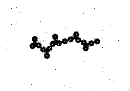 C1=C(c2ccc3c(c2)c2ccccc2n3-c2ccc(-c3ccccc3)cc2)CCc2c1c1ccccc1n2-c1ccc(-c2ccc(-c3ccc4c5cc(-c6ccc7c(c6)c6cc(-c8ccc9c(c8)c8ccccc8n9-c8ccccc8)ccc6n7-c6ccccc6)ccc5n(-c5ccccc5)c4c3)cc2)cc1